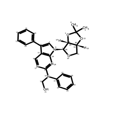 CC1(C)O[C@H]2[C@H](n3cc(-c4ccccc4)c4cnc(N(CO)c5ccccc5)nc43)OC[C@H]2O1